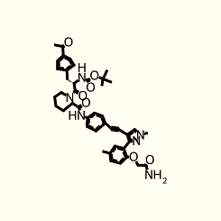 CC(=O)c1ccc(C[C@H](NC(=O)OC(C)(C)C)C(=O)N2CCCCC2C(=O)Nc2ccc(C#Cc3cn(C)nc3-c3cc(C)ccc3OCC(N)=O)cc2)cc1